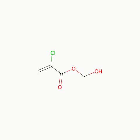 C=C(Cl)C(=O)OCO